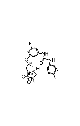 Cc1ccc(NC(=O)Nc2cc(F)cc(O[C@@H]3C[C@H]4CN(C)S(=O)(=O)N4C3)c2)cn1